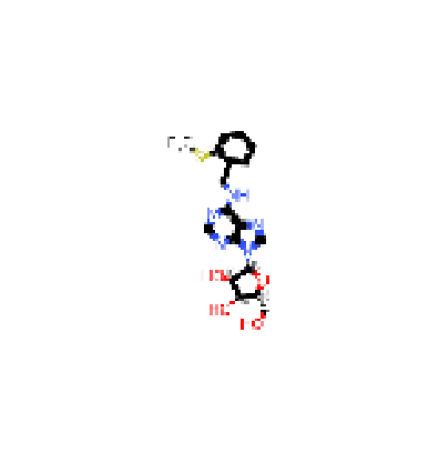 OC[C@H]1O[C@@H](n2cnc3c(NCc4ccccc4SC(F)(F)F)ncnc32)[C@H](O)[C@@H]1O